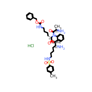 COC(=O)[C@H](CCCCNC(=O)OCc1ccccc1)N(C(=O)[C@H](C)N)c1ccccc1C(=O)[C@H](N)CCCCNS(=O)(=O)c1ccc(C)cc1.Cl